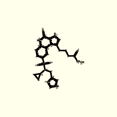 Cl.O=C(O)CCCc1c[nH]c2c(=O)[nH]c3ccc(S(=O)(=O)N(Cc4c[nH]cn4)C4CC4)cc3c12